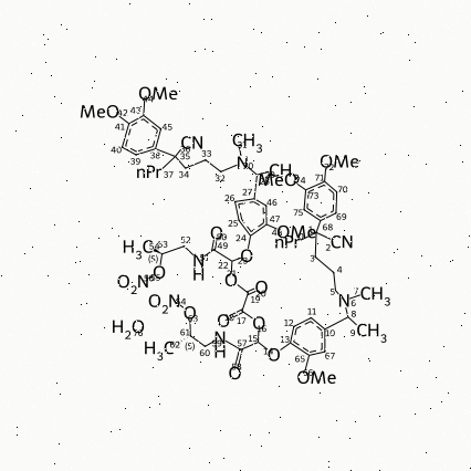 CCCC(C#N)(CCCN(C)C(C)c1ccc(OC(OC(=O)C(=O)OC(Oc2ccc(C(C)N(C)CCCC(C#N)(CCC)c3ccc(OC)c(OC)c3)cc2OC)C(=O)NC[C@H](C)O[N+](=O)[O-])C(=O)NC[C@H](C)O[N+](=O)[O-])c(OC)c1)c1ccc(OC)c(OC)c1.O